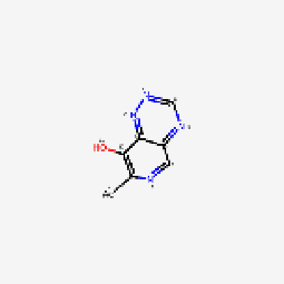 CC(=O)c1ncc2ncnnc2c1O